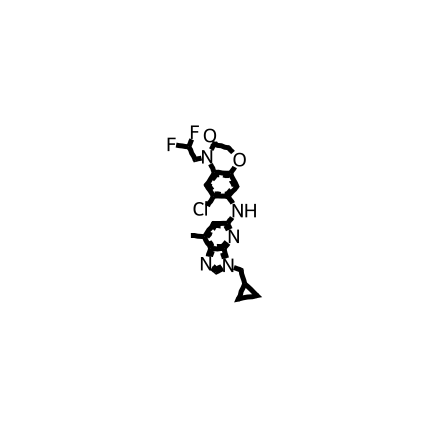 Cc1cc(Nc2cc3c(cc2Cl)N(CC(F)F)C(=O)CO3)nc2c1ncn2CC1CC1